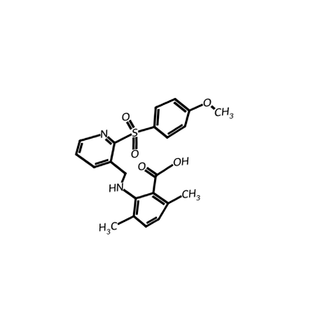 COc1ccc(S(=O)(=O)c2ncccc2CNc2c(C)ccc(C)c2C(=O)O)cc1